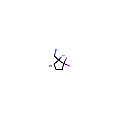 NCC1(N)CCCC1(I)I.[Pt]